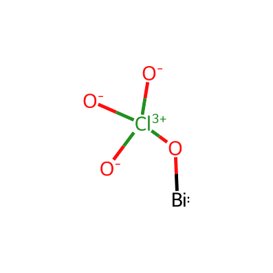 [O-][Cl+3]([O-])([O-])[O][Bi]